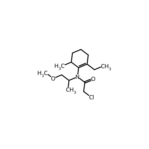 CCC1=C(N(C(=O)CCl)C(C)COC)C(C)CCC1